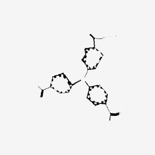 O=C(O)c1ccc([S+](c2ccc(C(=O)O)cc2)c2ccc(C(=O)O)cc2)cc1